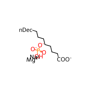 CCCCCCCCCCCCCCCCCC(=O)[O-].O=P([O-])([O-])O.[Mg+2].[Na+]